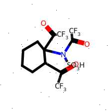 O=C(C1CCCCC1(C(=O)C(F)(F)F)N(C(=O)C(F)(F)F)S(=O)(=O)O)C(F)(F)F